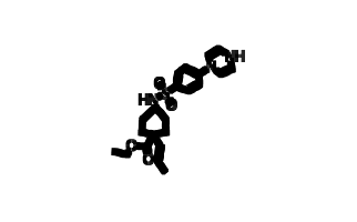 C/C=C/C1(C(=O)OCC)CCC(NS(=O)(=O)c2ccc(N3C=CNC=C3)cc2)CC1